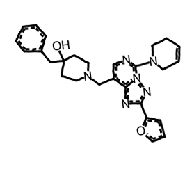 OC1(Cc2ccccc2)CCN(Cc2cnc(N3CC=CCC3)n3nc(-c4ccco4)nc23)CC1